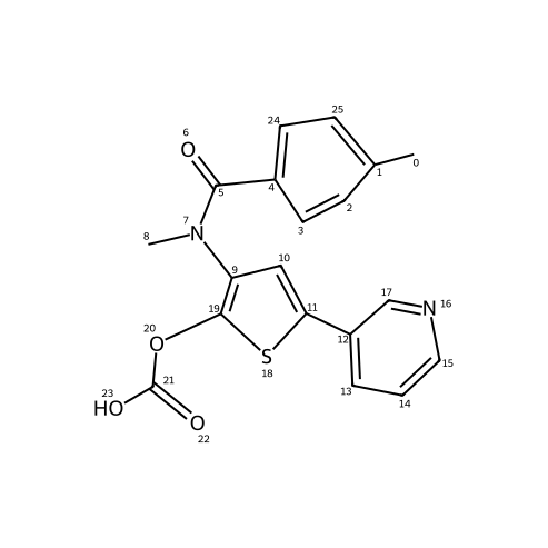 Cc1ccc(C(=O)N(C)c2cc(-c3cccnc3)sc2OC(=O)O)cc1